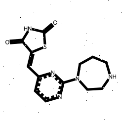 O=C1NC(=O)C(=Cc2ccnc(N3CCCNCC3)n2)S1